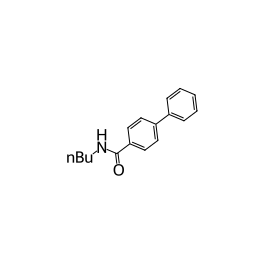 CCCCNC(=O)c1ccc(-c2ccccc2)cc1